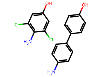 Nc1c(Cl)cc(O)cc1Cl.Nc1ccc(-c2ccc(O)cc2)cc1